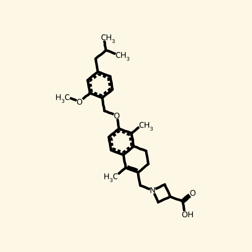 COc1cc(CC(C)C)ccc1COc1ccc2c(c1C)CCC(CN1CC(C(=O)O)C1)=C2C